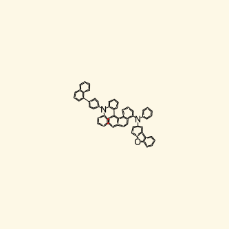 c1ccc(N(c2ccc(-c3cccc4ccccc34)cc2)c2ccccc2-c2cccc3ccc4c(N(c5ccccc5)c5ccc6oc7ccccc7c6c5)cccc4c23)cc1